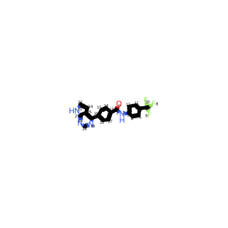 O=C(Nc1ccc(C(F)(F)F)cc1)c1ccc(-c2ncnc3[nH]ccc23)cc1